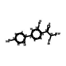 O=C(c1ccc(-c2ccc(F)cn2)cc1F)C(F)F